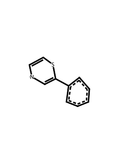 C1=CSC(c2ccccc2)=C[N]1